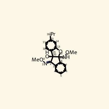 CO/N=C1/c2ccccc2C2(NOC)Oc3cc(C(C)C)ccc3C12O